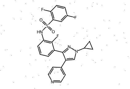 O=S(=O)(Nc1cccc(-c2nn(C3CC3)cc2-c2ccncc2)c1F)c1cc(F)ccc1F